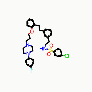 O=S(=O)(NCCc1cccc(CCc2ccccc2OCCCN2CCN(c3ccc(F)cc3)CC2)c1)c1ccc(Cl)cc1